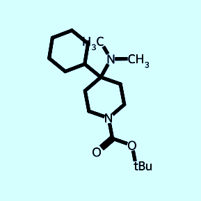 CN(C)C1(C2CCCCC2)CCN(C(=O)OC(C)(C)C)CC1